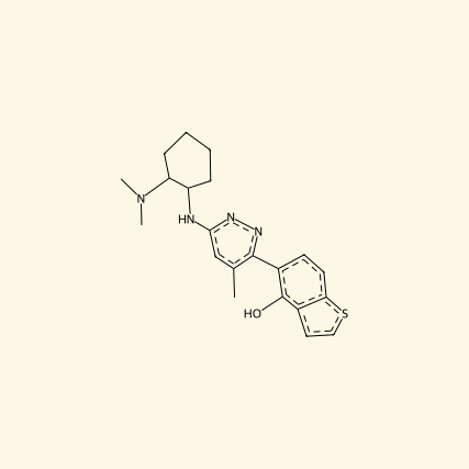 Cc1cc(NC2CCCCC2N(C)C)nnc1-c1ccc2sccc2c1O